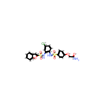 NC(=O)COc1ccc(S(=O)(=O)Nc2ccc(Cl)cc2NS(=O)(=O)c2cc3ccccc3o2)cc1